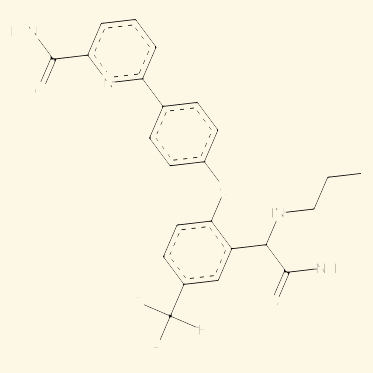 CCCNC(C(N)=O)c1cc(C(F)(F)F)ccc1Oc1ccc(-c2cccc(C(N)=O)n2)cc1